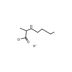 CCCCNC(C)C(=O)[O-].[K+]